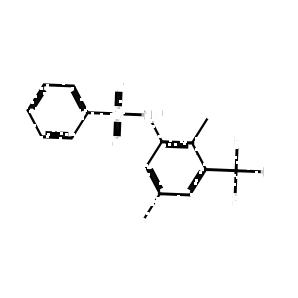 Cc1cc(NS(=O)(=O)c2ccccc2)c(C)c(C(F)(F)F)c1